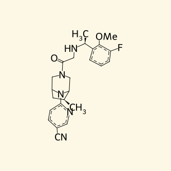 COc1c(F)cccc1[C@H](C)NCC(=O)N1CC2C[C@H](C)C(C1)N2c1ccc(C#N)cn1